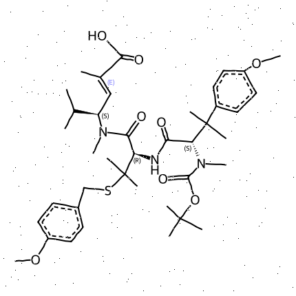 COc1ccc(CSC(C)(C)[C@H](NC(=O)[C@@H](N(C)C(=O)OC(C)(C)C)C(C)(C)c2ccc(OC)cc2)C(=O)N(C)[C@H](/C=C(\C)C(=O)O)C(C)C)cc1